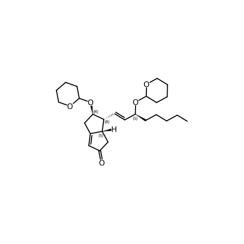 CCCCC[C@@H](C=C[C@@H]1[C@@H]2CC(=O)C=C2C[C@H]1OC1CCCCO1)OC1CCCCO1